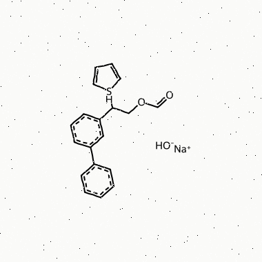 O=COCC(c1cccc(-c2ccccc2)c1)[SH]1C=CC=C1.[Na+].[OH-]